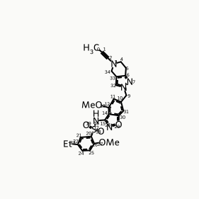 CC#CN1CCc2nn(Cc3cc(OC)c4c(NS(=O)(=O)c5cc(CC)ccc5OC)noc4c3)cc2C1